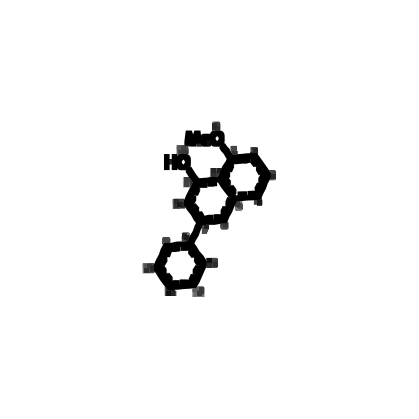 COc1cccc2cc(-c3ccccc3)cc(O)c12